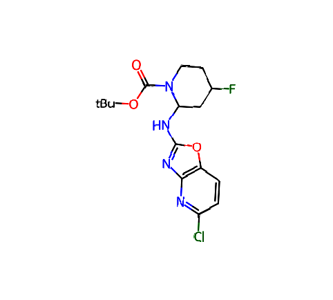 CC(C)(C)OC(=O)N1CCC(F)CC1Nc1nc2nc(Cl)ccc2o1